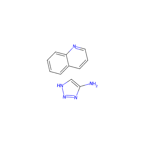 Nc1c[nH]nn1.c1ccc2ncccc2c1